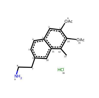 CC(=O)Oc1cc2ccc(CCN)cc2c(C)c1OC(C)=O.Cl